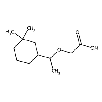 CC(OCC(=O)O)C1CCCC(C)(C)C1